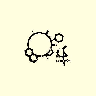 C=CC1CC1(NC(=O)[C@@H]1C[C@@H]2CN1C(=O)[C@H](C1CCCCC1)NC(=O)OC[C@@H](C)CCCc1ccc3ccnc(c3c1)O2)P(=O)(O)O